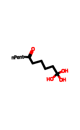 CCCCCC(=O)CCCCC(O)(O)O